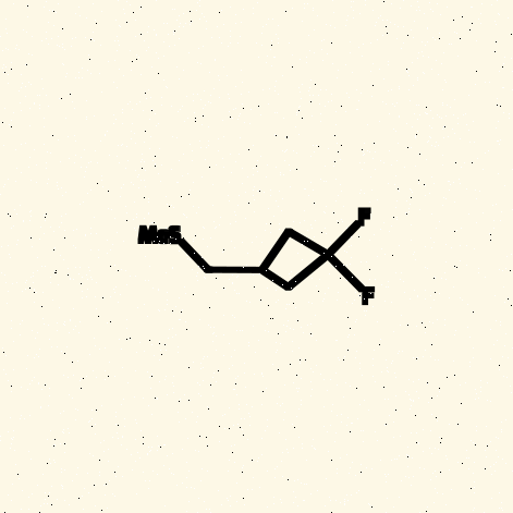 CSCC1CC(F)(F)C1